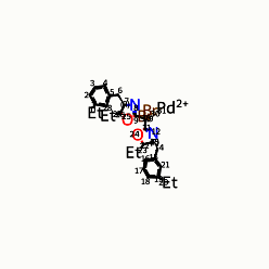 CCc1cccc(C[C@H]2N=C(CC3=N[C@H](Cc4cccc(CC)c4)C(CC)O3)OC2CC)c1.[Br-].[Br-].[Pd+2]